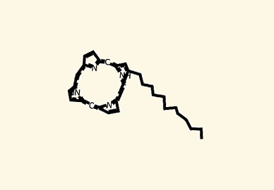 CCCCCCCCCCCCc1cc2cc3nc(cc4ccc(cc5nc(cc1[nH]2)C=C5)[nH]4)C=C3